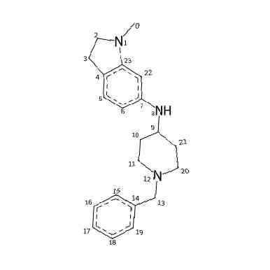 CN1CCc2ccc(NC3CCN(Cc4ccccc4)CC3)cc21